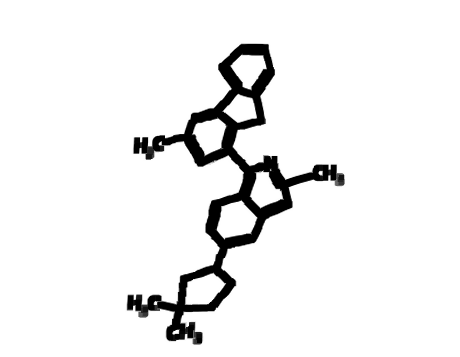 Cc1cc2c(c(-c3nc(C)cc4cc(C5CCC(C)(C)C5)ccc34)c1)Cc1ccccc1-2